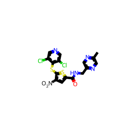 Cc1cnc(CNC(=O)c2cc([N+](=O)[O-])c(Sc3c(Cl)cncc3Cl)s2)cn1